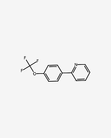 FC(F)(F)Oc1ccc(-c2[c]cccn2)cc1